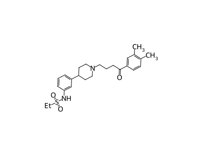 CCS(=O)(=O)Nc1cccc(C2CCN(CCCC(=O)c3ccc(C)c(C)c3)CC2)c1